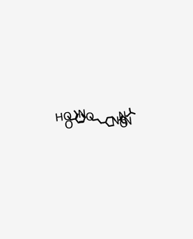 Cc1nc(OCCCC2CCN(c3nc(C(C)C)no3)CC2)ccc1C(=O)O